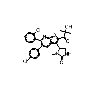 CN1C(=O)NCC1c1c(C(=O)C(C)(C)O)oc2nc(-c3ccccc3Cl)c(-c3ccc(Cl)cc3)cc12